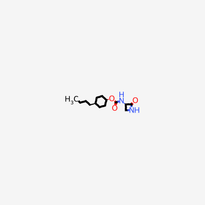 CCCC[C@H]1CC[C@H](OC(=O)N[C@H]2CNC2=O)CC1